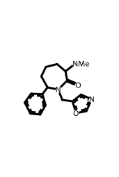 CNC1CCCC(c2ccccc2)N(Cc2cnco2)C1=O